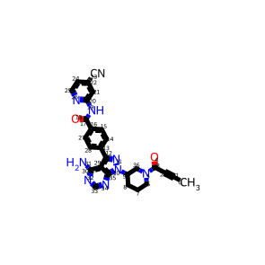 CC#CC(=O)N1CCCC(n2nc(-c3ccc(C(=O)Nc4cc(C#N)ccn4)cc3)c3c(N)ncnc32)C1